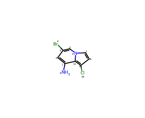 Nc1cc(Br)cn2ccc(Cl)c12